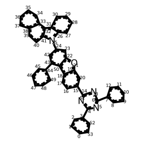 c1ccc(-c2nc(-c3ccccc3)nc(-c3ccc4c(c3)oc3cc(-n5c6ccccc6c6c7ccccc7ccc65)cc(-c5ccccc5)c34)n2)cc1